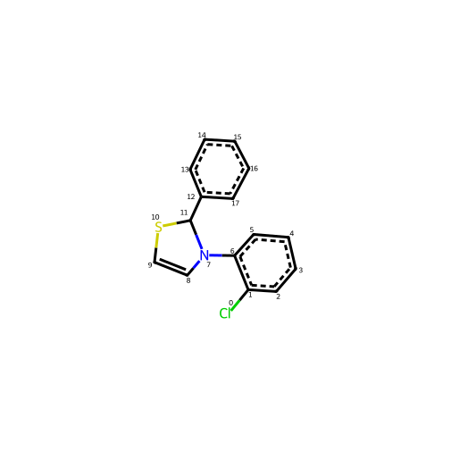 Clc1ccccc1N1C=CSC1c1ccccc1